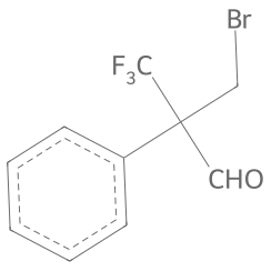 O=CC(CBr)(c1ccccc1)C(F)(F)F